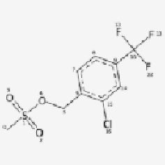 CS(=O)(=O)OCc1ccc(C(F)(F)F)cc1Cl